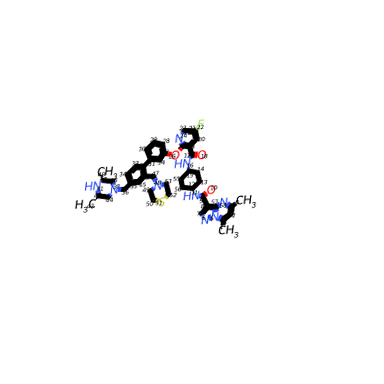 Cc1cc(C)n2ncc(C(=O)N[C@H]3CC[C@H](NC(=O)c4cc(F)cnc4Oc4cccc(-c5ccc(CN6C[C@@H](C)N[C@@H](C)C6)cc5CN5CCSCC5)c4)CC3)c2n1